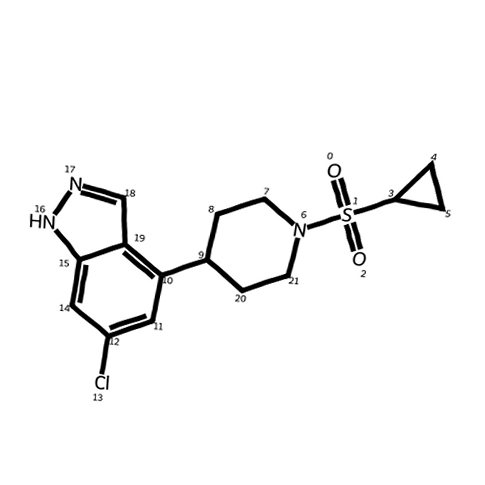 O=S(=O)(C1CC1)N1CCC(c2cc(Cl)cc3[nH]ncc23)CC1